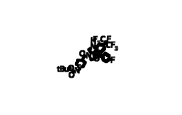 CC(C)(C)OC(=O)N=S1CCC(C(=O)N2CCC3(S(=O)(=O)c4ccc(F)cc4)c4ccc(C(F)(C(F)(F)F)C(F)(F)F)cc4NCC23)CC1